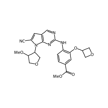 COC(=O)c1ccc(Nc2ncc3cc(C#N)n(C4COCC4OC)c3n2)c(OC2COC2)c1